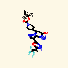 CC(C)(C)OC(=O)N1CCC(c2cc(=O)[nH]c3c(-c4nnc(CC(F)(F)F)o4)cnn23)CC1